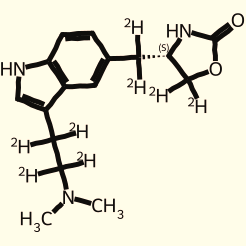 [2H]C1([2H])OC(=O)N[C@H]1C([2H])([2H])c1ccc2[nH]cc(C([2H])([2H])C([2H])([2H])N(C)C)c2c1